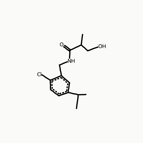 CC(CO)C(=O)NCc1cc(C(C)C)ccc1Cl